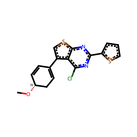 CO[C@@H]1C=CC(c2csc3nc(-c4cccs4)nc(Cl)c23)=CC1